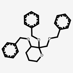 c1ccc(COCC2(OCc3ccccc3)OCCCC2OCc2ccccc2)cc1